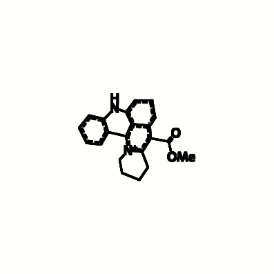 COC(=O)c1c2[n+](c3c4c(cccc14)Nc1ccccc1-3)CCCC2